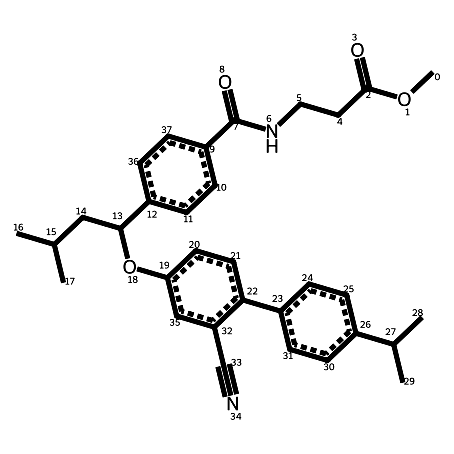 COC(=O)CCNC(=O)c1ccc(C(CC(C)C)Oc2ccc(-c3ccc(C(C)C)cc3)c(C#N)c2)cc1